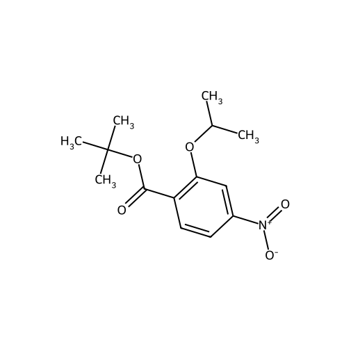 CC(C)Oc1cc([N+](=O)[O-])ccc1C(=O)OC(C)(C)C